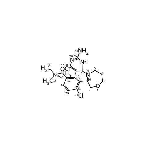 Cc1cc(N2CCCOCC2c2cc(C(=O)N(C)C)ccc2Cl)nc(N)n1